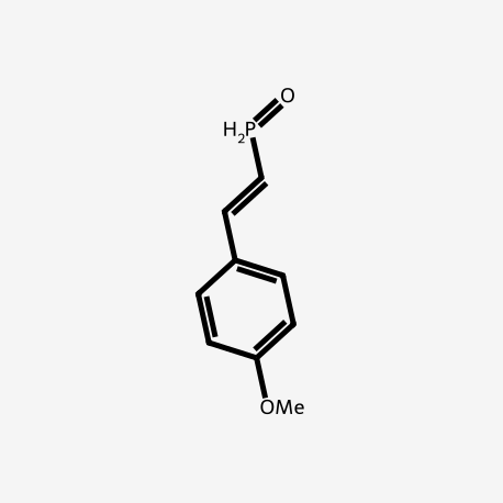 COc1ccc(C=C[PH2]=O)cc1